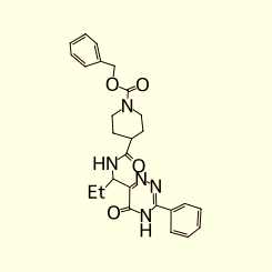 CCC(NC(=O)C1CCN(C(=O)OCc2ccccc2)CC1)c1nnc(-c2ccccc2)[nH]c1=O